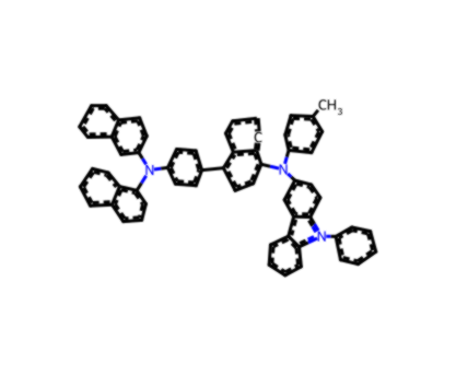 Cc1ccc(N(c2ccc3c(c2)c2ccccc2n3-c2ccccc2)c2ccc(-c3ccc(N(c4ccc5ccccc5c4)c4cccc5ccccc45)cc3)c3ccccc23)cc1